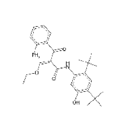 CCO/C=C(\C(=O)Nc1cc(O)c(C(C)(C)C)cc1C(C)(C)C)C(=O)c1ccccc1P